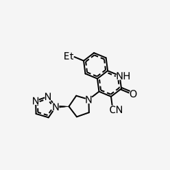 CCc1ccc2[nH]c(=O)c(C#N)c(N3CC[C@@H](n4ccnn4)C3)c2c1